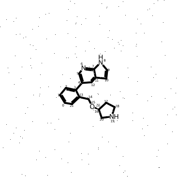 c1ccc(-c2cnc3[nH]ccc3c2)c(CO[C@H]2CCNC2)c1